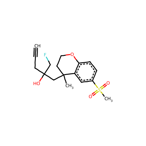 C#CCC(O)(CF)CC1(C)CCOc2ccc(S(C)(=O)=O)cc21